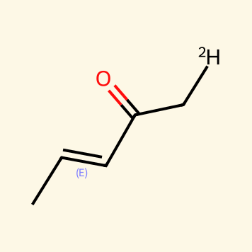 [2H]CC(=O)/C=C/C